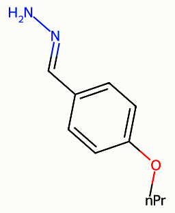 CCCOc1ccc(C=NN)cc1